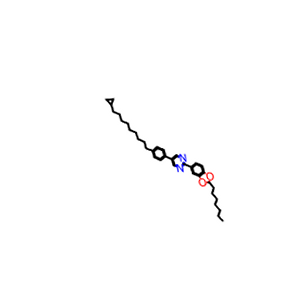 CCCCCCCC1Oc2ccc(-c3ncc(-c4ccc(CCCCCCCCCC5CC5)cc4)cn3)cc2O1